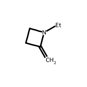 C=C1CCN1CC